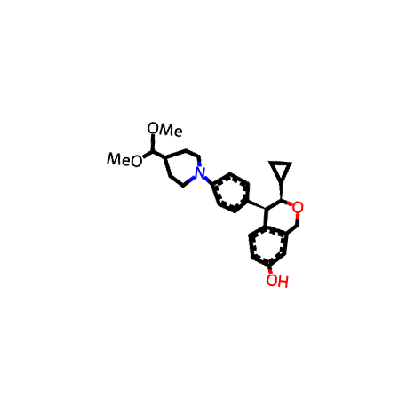 COC(OC)C1CCN(c2ccc([C@@H]3c4ccc(O)cc4CO[C@@H]3C3CC3)cc2)CC1